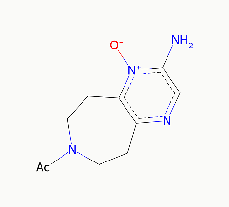 CC(=O)N1CCc2ncc(N)[n+]([O-])c2CC1